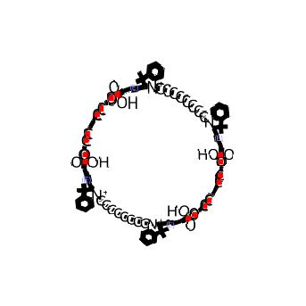 CC1(C)C2=[N+](CCCCCCCC[N+]3=C(/C=C/C4=C(O)OC5(CCC(CC5)C5CCC6(CC5)OC(=O)C(=C(O)O6)/C=C/C5=[N+](CCCCCCCC[N+]6=C(/C=C/C7=C(O)OC8(CCC(CC8)C8CCC9(CC8)OC(=O)C(=C(O)O9)/C=C/2)OC7=O)C(C)(C)c2ccccc26)c2ccccc2C5(C)C)OC4=O)C(C)(C)c2ccccc23)c2ccccc21